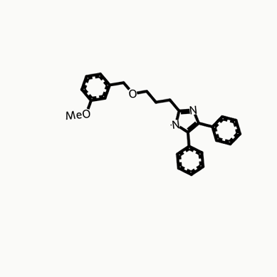 COc1cccc(COCCCC2=NC(c3ccccc3)=C(c3ccccc3)[N]2)c1